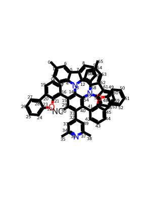 Cc1ccc2c(c1)c1ccccc1n2-c1c(-c2cccc3c2oc2ccccc23)c(C#N)c(-c2cc(C)nc(C)c2)c(-c2cccc3c2oc2ccccc23)c1-n1c2ccccc2c2cc(C)ccc21